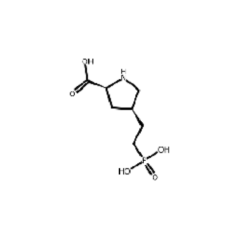 O=C(O)[C@@H]1C[C@H](CCP(=O)(O)O)CN1